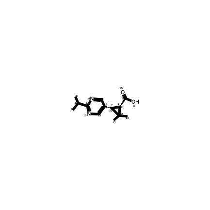 CC(C)c1ncc([C@@H]2[C@@H](C(=O)O)C2(C)C)cn1